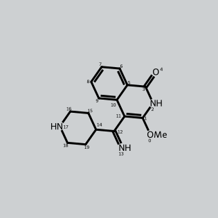 COc1[nH]c(=O)c2ccccc2c1C(=N)C1CCNCC1